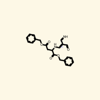 N=C/C(C=O)=C\NC(CC(=O)OCc1ccccc1)C(=O)OCc1ccccc1